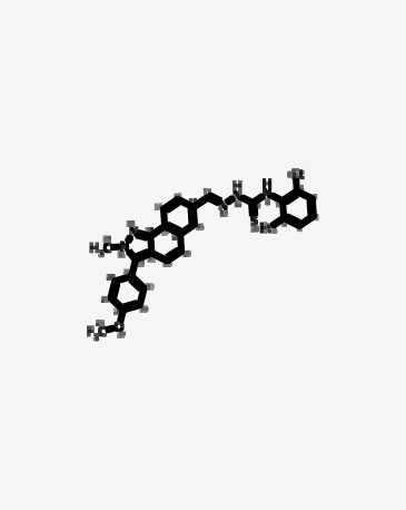 CCc1cccc(CC)c1NC(=S)NN=Cc1ccc2c(ccc3c(-c4ccc(OC(F)(F)F)cc4)n(C)nc32)c1